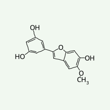 COc1cc2cc(-c3cc(O)cc(O)c3)oc2cc1O